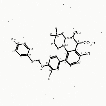 CCOC(=O)C(OC(C)(C)C)c1c(Cl)ncc(-c2ccc(OCCc3ccc(F)cc3)c(F)c2)c1N1CCC(C)(C)CC1